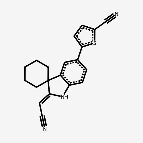 N#CC=C1Nc2ccc(-c3ccc(C#N)s3)cc2C12CCCCC2